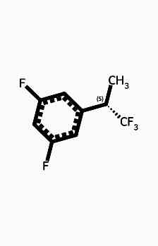 C[C@@H](c1cc(F)cc(F)c1)C(F)(F)F